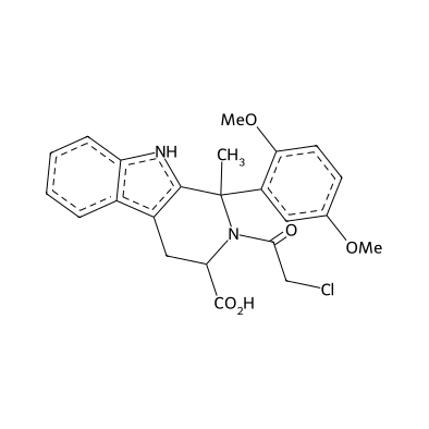 COc1ccc(OC)c(C2(C)c3[nH]c4ccccc4c3CC(C(=O)O)N2C(=O)CCl)c1